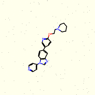 c1cc(-n2cnc3cc(-c4ccc(OCCN5CCCCC5)nc4)ccc32)ccn1